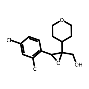 OCC1(C2CCOCC2)OC1c1ccc(Cl)cc1Cl